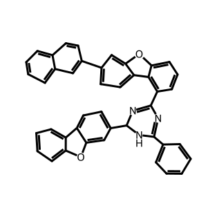 c1ccc(C2=NC(c3cccc4oc5cc(-c6ccc7ccccc7c6)ccc5c34)=NC(c3ccc4c(c3)oc3ccccc34)N2)cc1